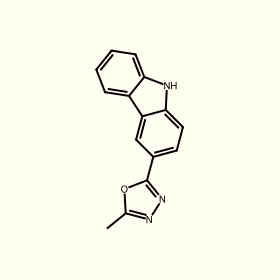 Cc1nnc(-c2ccc3[nH]c4ccccc4c3c2)o1